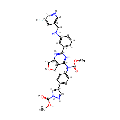 CC(C)(C)OC(=O)N(c1ccc(-c2cnn(C(=O)OC(C)(C)C)c2)cc1)c1nc(-c2cccc(NCc3cncc(F)c3)c2)nc2c1COC2